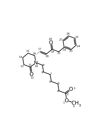 COC(=O)CCCCCCN1C(=O)CCC[C@@H]1/C=C/C(=O)Cc1ccccc1